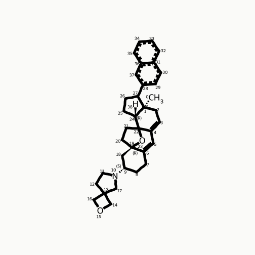 C[C@]12CC=C3C=C4CC[C@H](N5CCC6(COC6)C5)C[C@]45CCC3(O5)[C@@H]1CCC2c1ccc2ccccc2c1